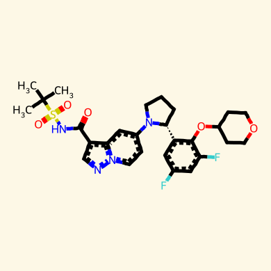 CC(C)(C)S(=O)(=O)NC(=O)c1cnn2ccc(N3CCC[C@@H]3c3cc(F)cc(F)c3OC3CCOCC3)cc12